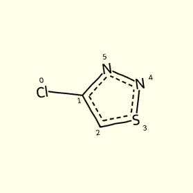 Clc1csnn1